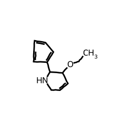 CCOC1C=CCNC1c1ccccc1